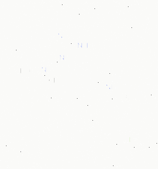 CN(C)c1nc(N[C@H]2CC[C@@H](NCc3ccc(F)cc3C(F)(F)F)CC2)nc2ccccc12